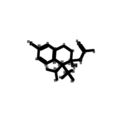 CC(=O)O[C@]1(O)CCc2cc(F)ccc2[C@@]1(C(C)C)C(C)(C)C